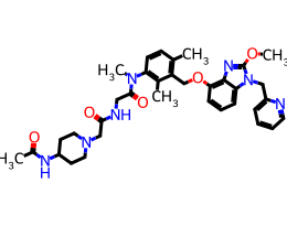 COc1nc2c(OCc3c(C)ccc(N(C)C(=O)CNC(=O)CN4CCC(NC(C)=O)CC4)c3C)cccc2n1Cc1ccccn1